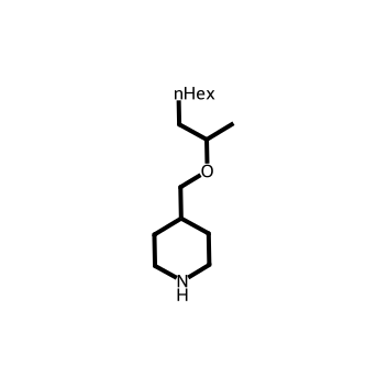 CCCCCCCC(C)OCC1CCNCC1